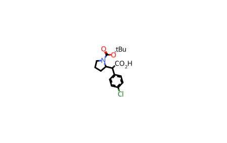 CC(C)(C)OC(=O)N1CCCC1C(C(=O)O)c1ccc(Cl)cc1